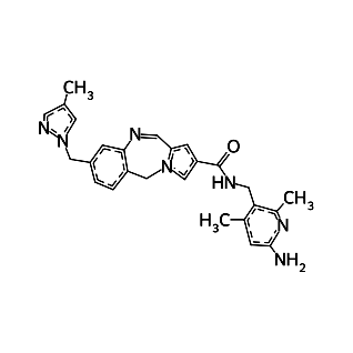 Cc1cnn(Cc2ccc3c(c2)N=Cc2cc(C(=O)NCc4c(C)cc(N)nc4C)cn2C3)c1